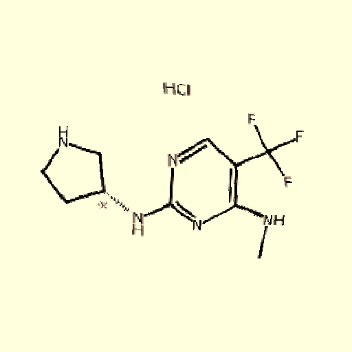 CNc1nc(N[C@@H]2CCNC2)ncc1C(F)(F)F.Cl